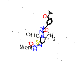 CNC(=O)Nc1nc2c(s1)[C@H](C=O)N(c1nnc(-c3cccc(C(=O)C4CC4)c3)o1)[C@H](C)C2